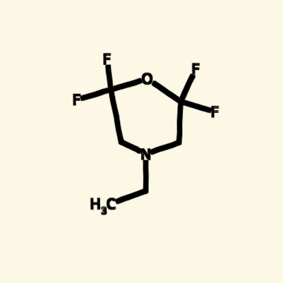 CCN1CC(F)(F)OC(F)(F)C1